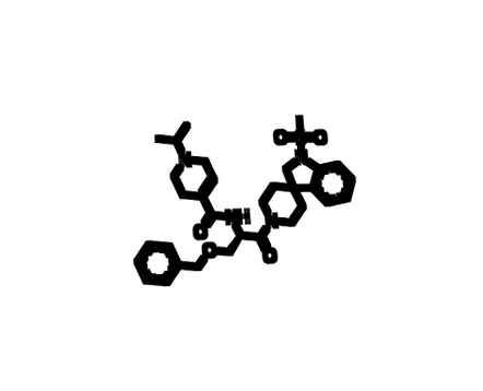 CC(C)N1CC=C(C(=O)N[C@H](COCc2ccccc2)C(=O)N2CCC3(CC2)CN(S(C)(=O)=O)c2ccccc23)CC1